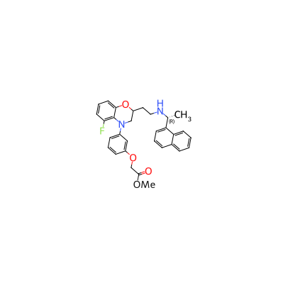 COC(=O)COc1cccc(N2CC(CCN[C@H](C)c3cccc4ccccc34)Oc3cccc(F)c32)c1